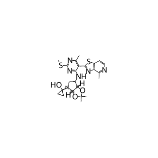 CSc1nc(C)c(-c2nc3c(C)nccc3s2)c(NC2C[C@H](C3(O)CC3)[C@H]3OC(C)(C)O[C@@H]23)n1